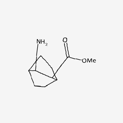 COC(=O)C1C2CCC(CC2)C1N